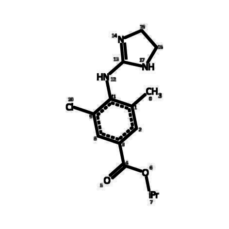 Cc1cc(C(=O)OC(C)C)cc(Cl)c1NC1=NCCN1